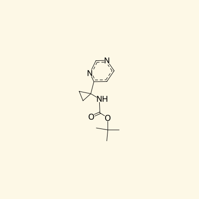 CC(C)(C)OC(=O)NC1(c2ccncn2)CC1